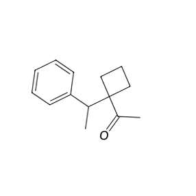 CC(=O)C1(C(C)c2ccccc2)CCC1